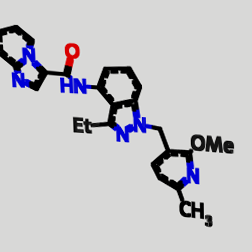 CCc1nn(Cc2ccc(C)nc2OC)c2cccc(NC(=O)c3cnc4ccccn34)c12